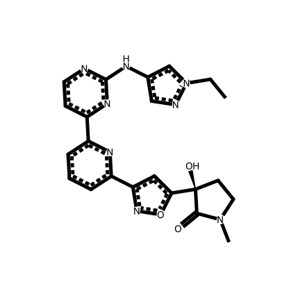 CCn1cc(Nc2nccc(-c3cccc(-c4cc([C@]5(O)CCN(C)C5=O)on4)n3)n2)cn1